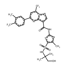 Cc1cc(-c2cc(C(F)(F)F)n3ncc(C(=O)Nc4nc(C)c(S(=O)(=O)NC(C)(C)CO)s4)c3n2)ccc1C(F)(F)F